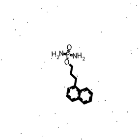 NP(N)(=O)OCCCc1cccc2ccccc12